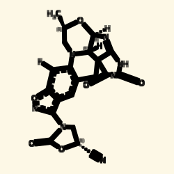 C[C@@H]1CN2c3c(cc4c(N5C[C@H](C#N)OC5=O)noc4c3F)CC34C(=O)NC(=O)NC3=N[C@H](O1)[C@@H]24